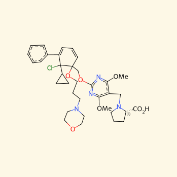 COc1nc(OCC2(OCCCN3CCOCC3)C=CC=C(c3ccccc3)C2(Cl)C2CC2)nc(OC)c1CN1CCC[C@H]1C(=O)O